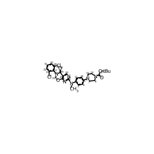 CN(c1ccc(N2CCN(C(=O)OC(C)(C)C)CC2)cc1)c1ncc2c(n1)OCN(c1c(Cl)cccc1Cl)C2=O